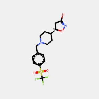 O=S(=O)(c1ccc(CN2CCC([C@H]3CC(Br)=NO3)CC2)cc1)C(F)(F)F